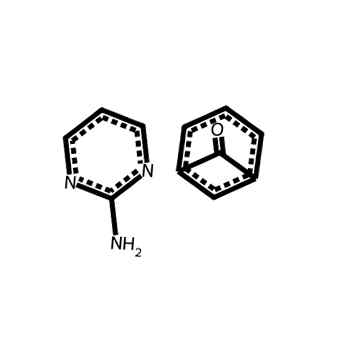 Nc1ncccn1.O=C1c2cccc1c2